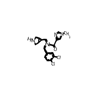 Cn1cnc(C(=O)N(Cc2ccc(Cl)c(Cl)c2)CC2C3CNCC32)c1